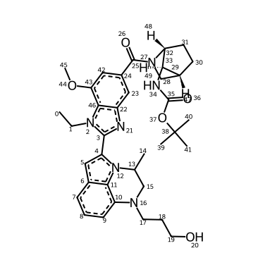 CCn1c(-c2cc3cccc4c3n2C(C)CN4CCCO)nc2cc(C(=O)N3C[C@H]4CC[C@@H]3[C@@H]4NC(=O)OC(C)(C)C)cc(OC)c21